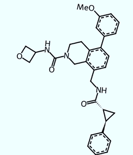 COc1cccc(-c2ccc(CNC(=O)[C@@H]3C[C@H]3c3ccccc3)c3c2CCN(C(=O)NC2COC2)C3)c1